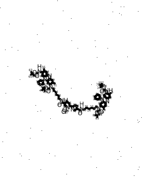 Cc1cc2nc3cc(C)c(N(CCCCCCNC(=O)c4ccc(-c5ccc(C(=O)NCCCCCCN(C(=O)OC(C)(C)C)c6cc7c(cc6C)nc6cc(C)c(NC(=O)OC(C)(C)C)cc6[n+]7-c6ccccc6)cn5)nc4)C(=O)OC(C)(C)C)cc3[n+](-c3ccccc3)c2cc1NC(=O)OC(C)(C)C.[Cl-].[Cl-]